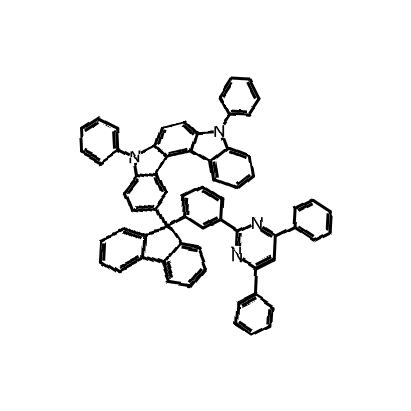 c1ccc(-c2cc(-c3ccccc3)nc(-c3cccc(C4(c5ccc6c(c5)c5c7c8ccccc8n(-c8ccccc8)c7ccc5n6-c5ccccc5)c5ccccc5-c5ccccc54)c3)n2)cc1